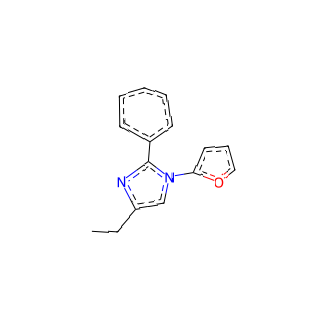 CCc1cn(-c2ccco2)c(-c2ccccc2)n1